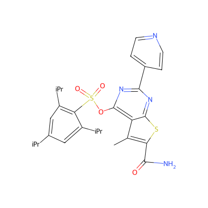 Cc1c(C(N)=O)sc2nc(-c3ccncc3)nc(OS(=O)(=O)c3c(C(C)C)cc(C(C)C)cc3C(C)C)c12